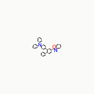 c1ccc(-c2ccc(-c3nc4ccccc4o3)cc2-c2ccc(N(c3ccccc3)c3ccccc3)cc2)cc1